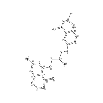 Cc1cc(=O)c2cc(OCC(O)COc3cc([18F])cc4occc(=O)c34)ccc2o1